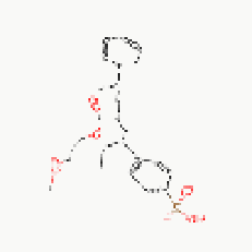 CCC(CC(CC(C)c1ccccc1)C(=O)OCCOC)c1ccc(S(=O)(=O)O)cc1